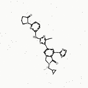 Cc1nc(Nc2cccc(N3CCCC3=O)n2)sc1-c1cc2c(c(-c3nccs3)c1)C(=O)N([C@@H](C)C1CC1)C2